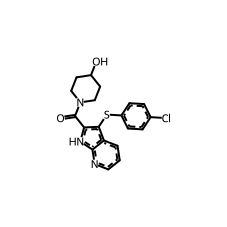 O=C(c1[nH]c2ncccc2c1Sc1ccc(Cl)cc1)N1CCC(O)CC1